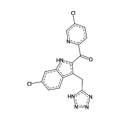 O=C(c1ccc(Cl)cn1)c1[nH]c2cc(Cl)ccc2c1Cc1nnn[nH]1